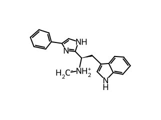 [CH2-][NH2+][C@H](Cc1c[nH]c2ccccc12)c1nc(-c2ccccc2)c[nH]1